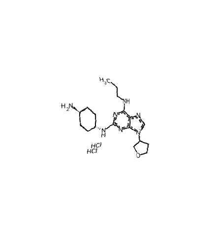 CCCNc1nc(N[C@H]2CC[C@H](N)CC2)nc2c1ncn2C1CCOC1.Cl.Cl